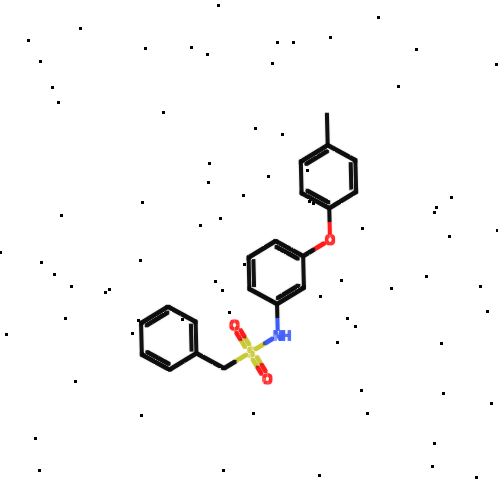 Cc1ccc(Oc2cccc(NS(=O)(=O)Cc3ccccc3)c2)cc1